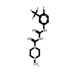 CN1CCN(C(=N)NC(=N)Nc2ccc(F)c(C(F)(F)F)c2)CC1